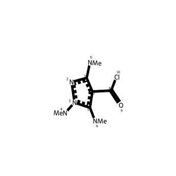 CNc1nn(NC)c(NC)c1C(=O)Cl